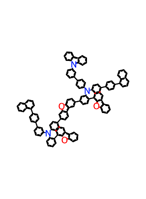 c1cc(-c2ccc(-c3cccc4ccccc34)cc2)cc(N(c2ccc(-c3ccc4c(c3)oc3ccc(-c5ccc(-c6cccc7c6oc6ccccc67)c(N(c6ccc(-c7ccc(-c8cccc9ccccc89)cc7)cc6)c6ccc(-c7cccc(-n8c9ccccc9c9ccccc98)c7)cc6)c5)cc34)cc2)c2ccccc2-c2cccc3c2oc2ccccc23)c1